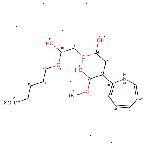 CC(C)(C)OC(O)C(CC(O)OCC(O)OCCCCC(=O)O)C1=CC=CC=CN1